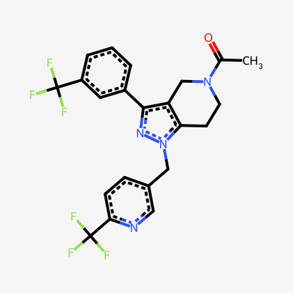 CC(=O)N1CCc2c(c(-c3cccc(C(F)(F)F)c3)nn2Cc2ccc(C(F)(F)F)nc2)C1